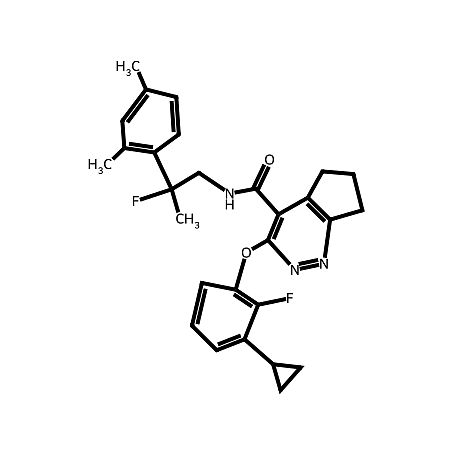 Cc1ccc(C(C)(F)CNC(=O)c2c(Oc3cccc(C4CC4)c3F)nnc3c2CCC3)c(C)c1